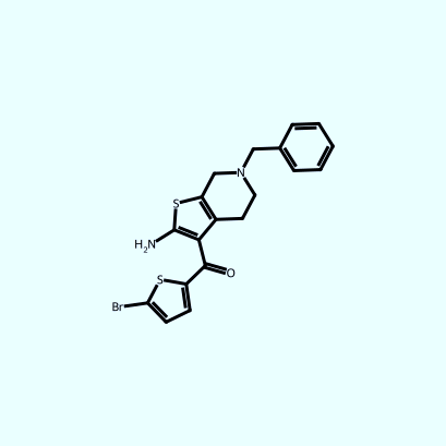 Nc1sc2c(c1C(=O)c1ccc(Br)s1)CCN(Cc1ccccc1)C2